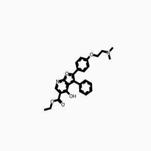 CCOC(=O)c1cnc2oc(-c3ccc(OCCN(C)C)cc3)c(-c3ccccc3)c2c1O